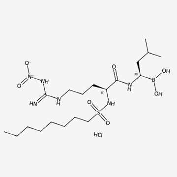 CCCCCCCCS(=O)(=O)N[C@@H](CCCNC(=N)N[N+](=O)[O-])C(=O)N[C@@H](CC(C)C)B(O)O.Cl